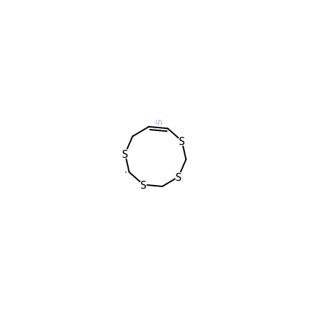 [CH]1SC/C=C\SCSCS1